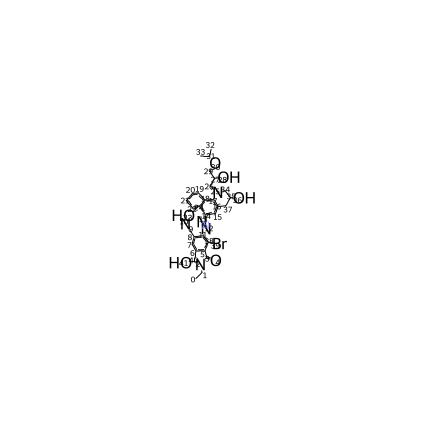 CCN1C(=O)c2c(cc(C#N)c(/N=N/c3cc4c(c5cccc(O)c35)N(CC(O)COC(C)C)CC(O)C4)c2Br)C1O